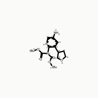 CC(C)(C)OC(=O)N(C(=O)OC(C)(C)C)c1ncc(N)cc1C1CCOC1